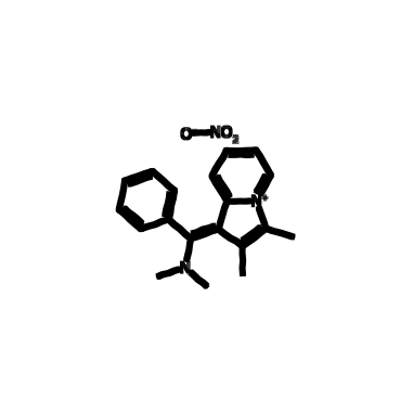 CC1=C(C)[n+]2ccccc2C1=C(c1ccccc1)N(C)C.O=[N+]([O-])[O-]